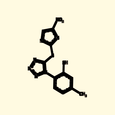 Cc1ccc(-n2nnnc2Sc2ncc([N+](=O)[O-])s2)c(S)c1